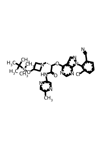 Cc1cnc(NC(=O)[C@H](CN2CC(O[Si](C)(C)C(C)(C)C)C2)Oc2ncnc3c2cnn3-c2c(Cl)cccc2C#N)cn1